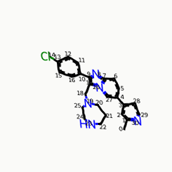 Cc1cc(-c2ccc3nc(-c4ccc(Cl)cc4)c(CN4CCCNCC4)n3c2)ccn1